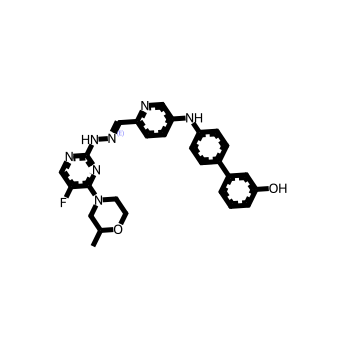 CC1CN(c2nc(N/N=C/c3ccc(Nc4ccc(-c5cccc(O)c5)cc4)cn3)ncc2F)CCO1